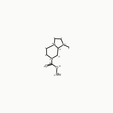 CN1CCN2CCN(C(=O)OC(C)(C)C)CC12